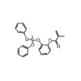 C=C(C)C(=O)Oc1ccccc1O[Si](C)(Oc1ccccc1)Oc1ccccc1